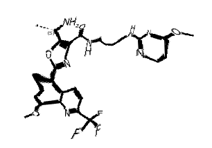 COc1ccnc(NCCNC(=O)c2nc(-c3ccc(OC)c4nc(C(F)(F)F)ccc34)oc2[C@H](C)N)n1